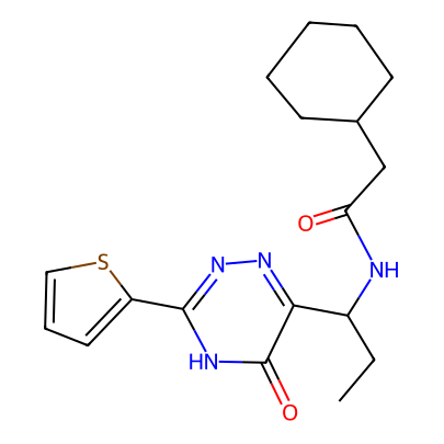 CCC(NC(=O)CC1CCCCC1)c1nnc(-c2cccs2)[nH]c1=O